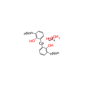 C.CCCCCCCCCc1ccc[c]([Co][c]2cccc(CCCCCCCCC)c2O)c1O.O.O